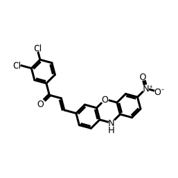 O=C(C=Cc1ccc2c(c1)Oc1cc([N+](=O)[O-])ccc1N2)c1ccc(Cl)c(Cl)c1